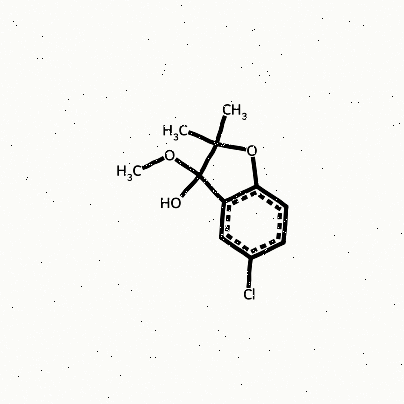 COC1(O)c2cc(Cl)ccc2OC1(C)C